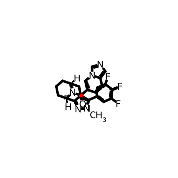 Cn1nc2c(c1-c1cc(F)c(F)c(F)c1)C[C@H]1CCC[C@@H]2N1C(=O)c1ccc2cncn2c1